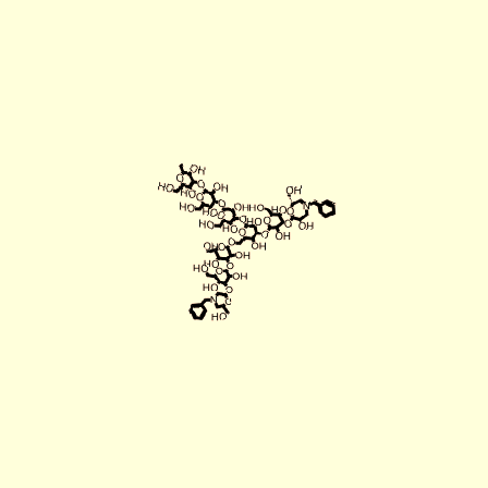 CC1OC(CO)C(O)C(OC2OC(CO)C(O)C(OC3OC(CO)C(O)C(OC4OC(COC5OC(CO)C(O)C(OC6OC(CO)C(O)C(OC7CN(Cc8ccccc8)CC(CO)O7)C6O)C5O)C(O)C(OC5OC(CO)C(O)C(OC6O[C@H](CO)CN(Cc7ccccc7)C[C@H]6O)C5O)C4O)C3O)C2O)C1O